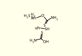 CCCOC(N)=S.CCCS.NC(O)=S.S.S